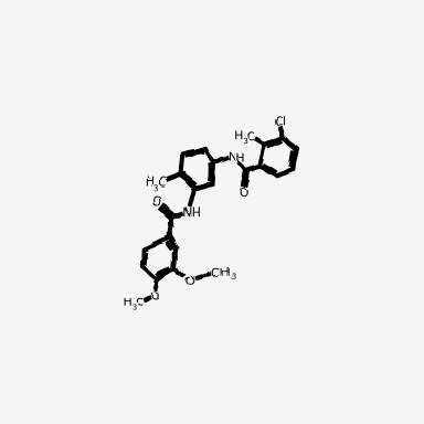 COc1ccc(C(=O)Nc2cc(NC(=O)c3cccc(Cl)c3C)ccc2C)cc1OC